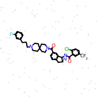 O=C(NC1CCc2ccc(C(=O)N3CCC4(CCN(CCCc5cccc(F)c5)CC4)CC3)cc21)c1cc(C(F)(F)F)ccc1Cl